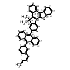 C=C/C=C\c1cccc(-c2c3ccccc3c(-c3ccc4c(c3)C(C)(C)c3c-4c4oc5ccccc5c4c4ccccc34)c3ccccc23)c1